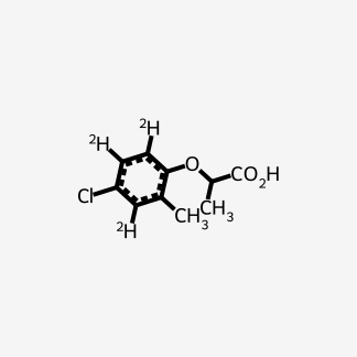 [2H]c1c([2H])c(OC(C)C(=O)O)c(C)c([2H])c1Cl